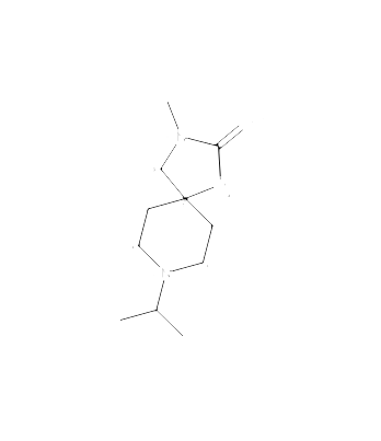 CC(C)N1CCC2(CC1)CN(C)C(=O)O2